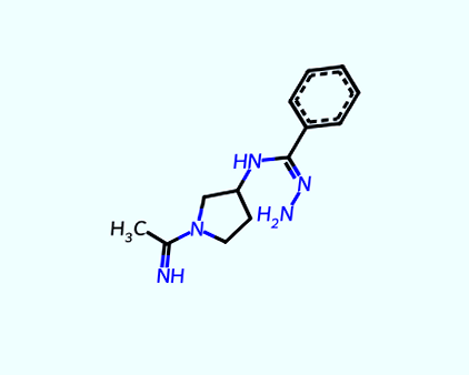 CC(=N)N1CCC(NC(=NN)c2ccccc2)C1